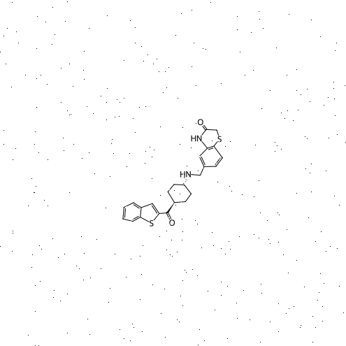 O=C1CSc2ccc(CN[C@H]3CC[C@H](C(=O)c4cc5ccccc5s4)CC3)cc2N1